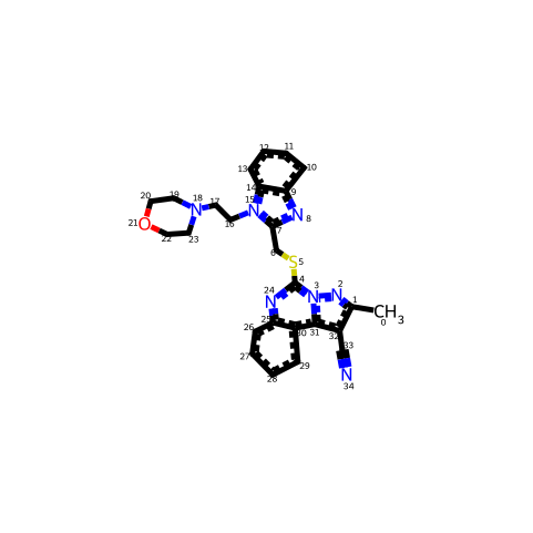 Cc1nn2c(SCc3nc4ccccc4n3CCN3CCOCC3)nc3ccccc3c2c1C#N